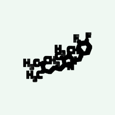 C=C(C)C(C)CCCC1=NN(Cc2ccc(F)c(F)c2)C(=C)C1C